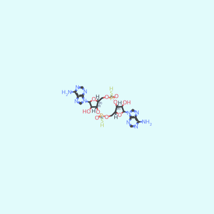 Nc1ncnc2c1ncn2C1O[C@@H]2CO[P@@](=O)(S)O[C@@H]3C(O)C(n4cnc5c(N)ncnc54)O[C@@H]3CO[P@@](=O)(S)O[C@@H]2C1O